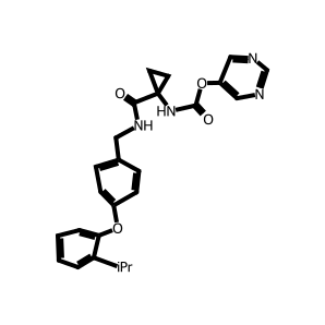 CC(C)c1ccccc1Oc1ccc(CNC(=O)C2(NC(=O)Oc3cncnc3)CC2)cc1